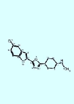 CNC1CCC(c2nnc(-c3cc4cc(Cl)ccc4o3)o2)CC1